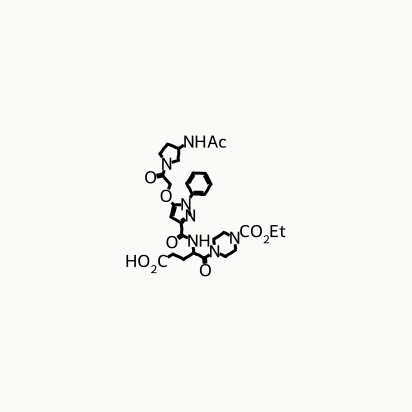 CCOC(=O)N1CCN(C(=O)C(CCC(=O)O)NC(=O)c2cc(OCC(=O)N3CCC(NC(C)=O)C3)n(-c3ccccc3)n2)CC1